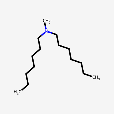 [CH2]N(CCCCCCC)CCCCCCC